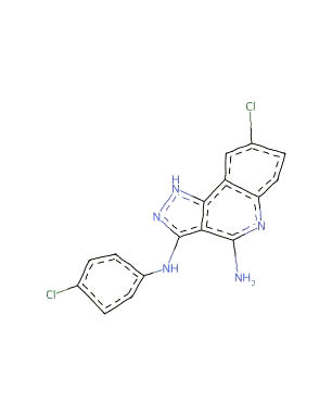 Nc1nc2ccc(Cl)cc2c2[nH]nc(Nc3ccc(Cl)cc3)c12